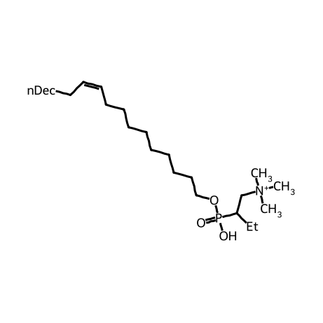 CCCCCCCCCCC/C=C\CCCCCCCCCOP(=O)(O)C(CC)C[N+](C)(C)C